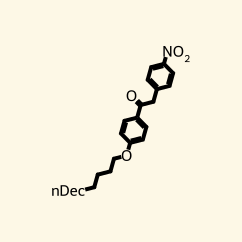 CCCCCCCCCCCCCCOc1ccc(C(=O)Cc2ccc([N+](=O)[O-])cc2)cc1